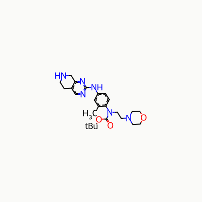 Cc1cc(Nc2ncc3c(n2)CNCC3)ccc1N(CCN1CCOCC1)C(=O)OC(C)(C)C